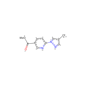 COC(=O)c1ccc(-n2cc(C(F)(F)F)cn2)nc1